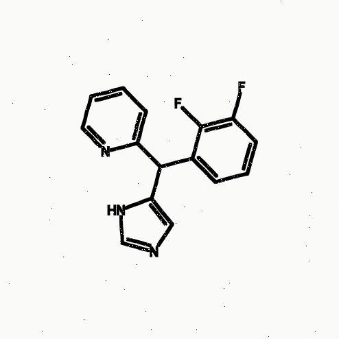 Fc1cccc(C(c2ccccn2)c2cnc[nH]2)c1F